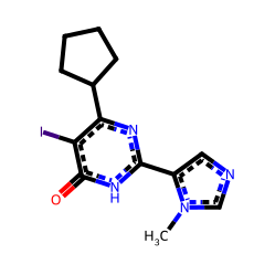 Cn1cncc1-c1nc(C2CCCC2)c(I)c(=O)[nH]1